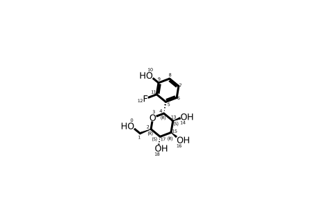 OC[C@H]1O[C@H](c2cccc(O)c2F)[C@@H](O)[C@@H](O)[C@@H]1O